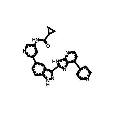 O=C(Nc1cncc(-c2ccc3[nH]nc(-c4nc5c(-c6ccncc6)ccnc5[nH]4)c3c2)c1)C1CC1